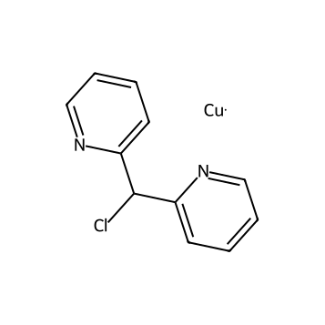 ClC(c1ccccn1)c1ccccn1.[Cu]